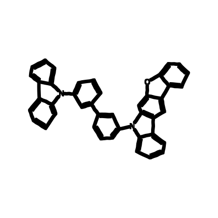 c1cc(-c2cccc(-n3c4ccccc4c4cc5c(cc43)oc3ccccc35)c2)cc(-n2c3ccccc3c3ccccc32)c1